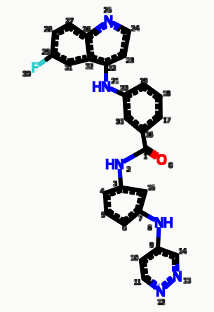 O=C(Nc1cccc(Nc2ccnnc2)c1)c1cccc(Nc2ccnc3ccc(F)cc23)c1